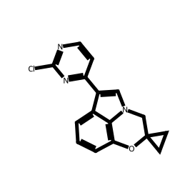 Clc1nccc(-c2cn3c4c(cccc24)OC2(CC2)C3)n1